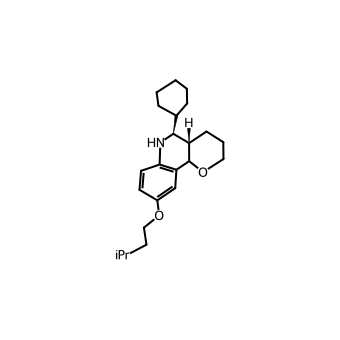 CC(C)CCOc1ccc2c(c1)C1OCCC[C@H]1[C@H](C1CCCCC1)N2